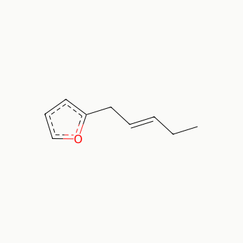 CCC=CCc1ccco1